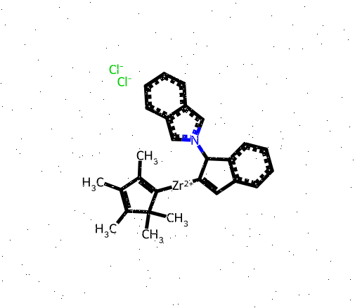 CC1=C(C)C(C)(C)[C]([Zr+2][C]2=Cc3ccccc3C2n2cc3ccccc3c2)=C1C.[Cl-].[Cl-]